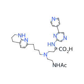 CC(=O)NCCN(CCCCc1ccc2c(n1)NCCC2)CC[C@H](Nc1cncc(-c2ccncc2)n1)C(=O)O